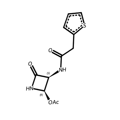 CC(=O)O[C@H]1NC(=O)[C@H]1NC(=O)Cc1cccs1